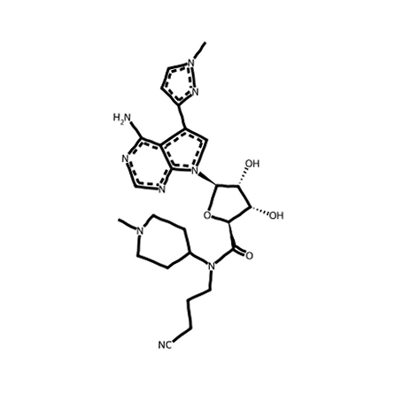 CN1CCC(N(CCCC#N)C(=O)[C@H]2O[C@@H](n3cc(-c4ccn(C)n4)c4c(N)ncnc43)[C@H](O)[C@@H]2O)CC1